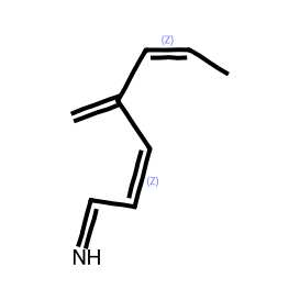 C=C(/C=C\C)/C=C\C=N